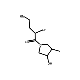 CC1CN(C(=O)C(O)CCC(C)(C)C)CC1O